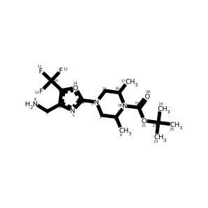 CC1CN(c2nc(CN)c(C(F)(F)F)o2)CC(C)N1C(=O)OC(C)(C)C